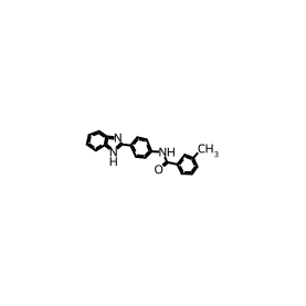 Cc1cccc(C(=O)Nc2ccc(-c3nc4ccccc4[nH]3)cc2)c1